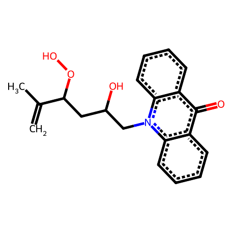 C=C(C)C(CC(O)Cn1c2ccccc2c(=O)c2ccccc21)OO